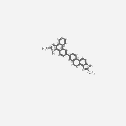 Cc1nc2c3c(ccc2[nH]1)-c1ccc(-c2ccc4c(c2)c2ccncc2c2nc(C)[nH]c42)cc1CC3